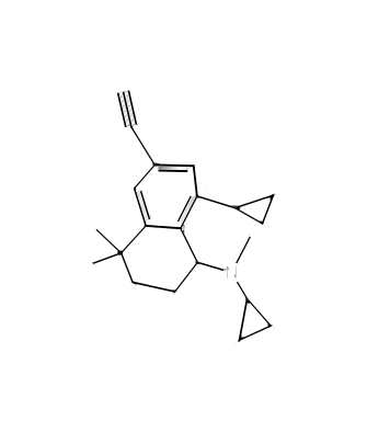 C#Cc1cc(C2CC2)c2c(c1)C(C)(C)CCC2N(C)C1CC1